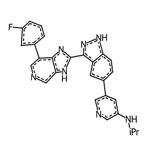 CC(C)Nc1cncc(-c2ccc3[nH]nc(-c4nc5c(-c6cccc(F)c6)cncc5[nH]4)c3c2)c1